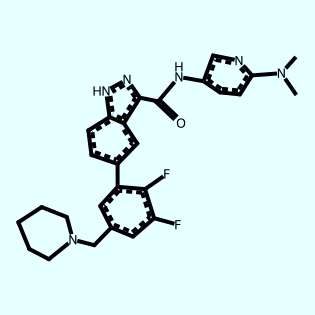 CN(C)c1ccc(NC(=O)c2n[nH]c3ccc(-c4cc(CN5CCCCC5)cc(F)c4F)cc23)cn1